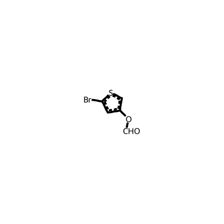 O=COc1csc(Br)c1